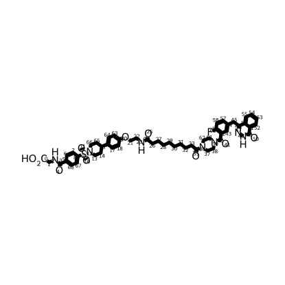 O=C(O)CNC(=O)c1ccc(S(=O)(=O)N2CCC(c3ccc(OCCNC(=O)CCCCCCCCC(=O)N4CCN(C(=O)c5cc(Cc6n[nH]c(=O)c7ccccc67)ccc5F)CC4)cc3)CC2)cc1